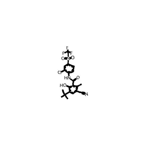 Cc1c(C#N)cc(C(C)(C)C)c(O)c1C(=O)Nc1ccc(S(=O)(=O)C(F)(F)F)cc1Cl